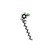 CCCCCCCCCCCC[Si](C)(C)c1cccc(Br)c1